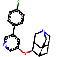 Clc1ccc(-c2cncc(OC3C4CC5CC3CN(C5)C4)c2)cc1